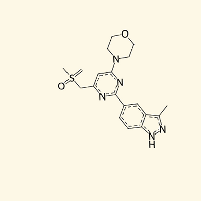 C=S(C)(=O)Cc1cc(N2CCOCC2)nc(-c2ccc3[nH]nc(C)c3c2)n1